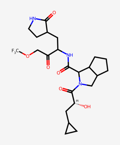 O=C1NCCC1CC(NC(=O)C1C2CCCC2CN1C(=O)[C@H](O)CC1CC1)C(=O)COC(F)(F)F